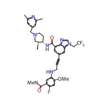 CNC(=O)c1cc(NCC#Cc2cc(C(=O)N[C@H]3CCN(Cc4cc(C)nc(C)c4)C[C@@H]3C)c3ncn(CC(F)(F)F)c3c2)c(OC)cc1F